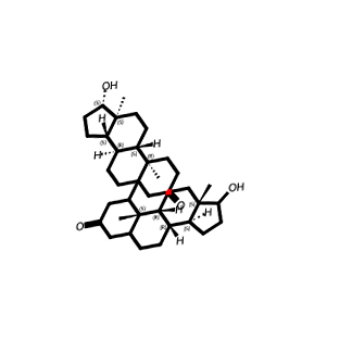 C[C@]12C(CC[C@@H]3[C@H]1CC[C@]1(C)C(O)CC[C@@H]31)CC(=O)CC2C12CC[C@H]3[C@@H]4CC[C@H](O)[C@@]4(C)CC[C@@H]3[C@@]1(C)CCC(=O)C2